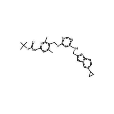 Cc1cc(NC(=O)OC(C)(C)C)nc(C)c1COc1cc(NCc2cn3cc(C4CC4)ccc3n2)ncn1